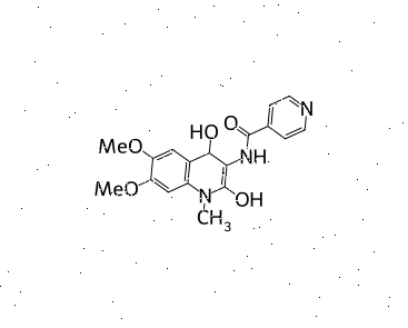 COc1cc2c(cc1OC)N(C)C(O)=C(NC(=O)c1ccncc1)C2O